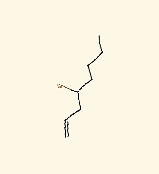 C=CCC(Br)CCCC